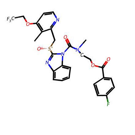 Cc1c(OCC(F)(F)F)ccnc1C[S@@+]([O-])c1nc2ccccc2n1C(=O)N(C)CCOC(=O)c1ccc(F)cc1